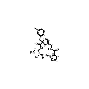 Cc1cccc(CC2(C(=O)N[C@@H](CC(C)C)B(O)O)CC(CNC(=O)c3ccnn3C(C)C)=NO2)c1